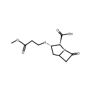 COC(=O)CCS[C@H]1CC2CC(=O)N2[C@@H]1C(=O)O